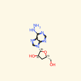 NNc1ncnc2c1ncn2[C@@H]1O[C@H](CO)C[C@H]1O